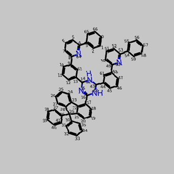 c1ccc(-c2cccc(-c3cccc(C4N=C(c5cccc6c5-c5ccccc5C6(c5ccccc5)c5ccccc5)NC(c5cccc(-c6cccc(-c7ccccc7)n6)c5)N4)c3)n2)cc1